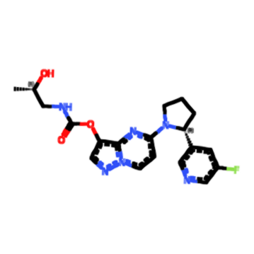 C[C@H](O)CNC(=O)Oc1cnn2ccc(N3CCC[C@@H]3c3cncc(F)c3)nc12